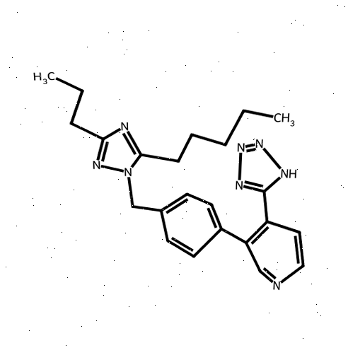 CCCCCc1nc(CCC)nn1Cc1ccc(-c2cnccc2-c2nnn[nH]2)cc1